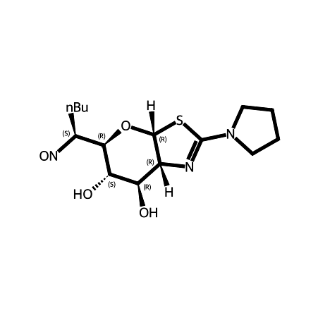 CCCC[C@H](N=O)[C@H]1O[C@@H]2SC(N3CCCC3)=N[C@@H]2[C@@H](O)[C@@H]1O